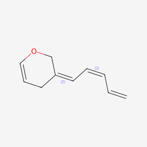 C=C/C=C\C=C1\CC=COC1